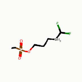 CS(=O)(=O)OCCC[SiH2]C(F)F